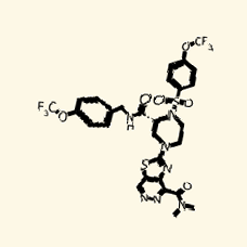 CN(C)C(=O)c1nncc2sc(N3CCN(S(=O)(=O)c4ccc(OC(F)(F)F)cc4)[C@@H](C(=O)NCc4ccc(OC(F)(F)F)cc4)C3)nc12